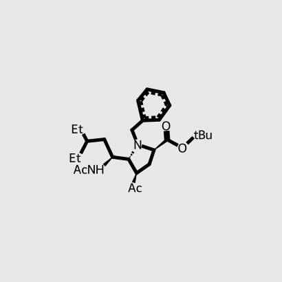 CCC(CC)C[C@H](NC(C)=O)[C@H]1[C@H](C(C)=O)C[C@H](C(=O)OC(C)(C)C)N1Cc1ccccc1